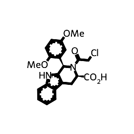 COc1ccc(OC)c([C@@H]2c3[nH]c4ccccc4c3C[C@H](C(=O)O)N2C(=O)CCl)c1